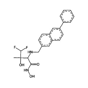 CC(O)(C(F)F)C(NCc1ccc2cc(-c3ccccc3)ccc2c1)C(=O)NO